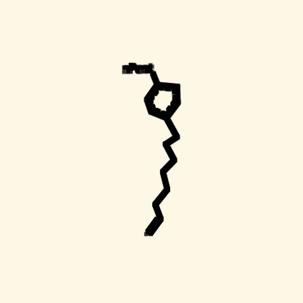 [CH]=CCCCCCCc1ccc(CCCCC)cc1